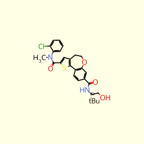 CN(C(=O)c1cc2c(s1)-c1ccc(C(=O)N[C@H](CO)C(C)(C)C)cc1OCC2)c1ccccc1Cl